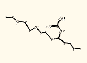 CCCCC(CCCOCCOCC)OC(=O)O